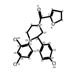 O=C(C1=CCCO1)N1CCN(c2ccc(Cl)cc2Cl)C(c2ccc(Cl)cc2)C1